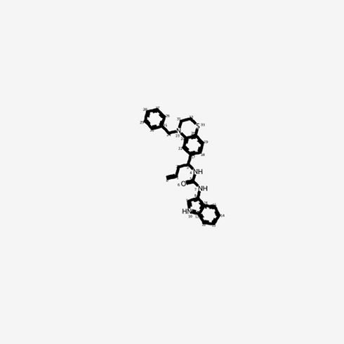 C=CCC(NC(=O)Nc1c[nH]c2ccccc12)c1ccc2c(c1)N(Cc1ccccc1)CCS2